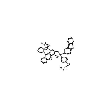 COC(=O)c1cc2c(c3c1=C(c1ccccc1)c1ccccc1O3)SC(c1ccc(OC)cc1)(c1ccc3sc4ccccc4c3c1)C=2